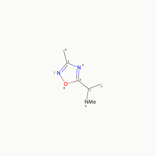 CNC(C)c1nc(C)no1